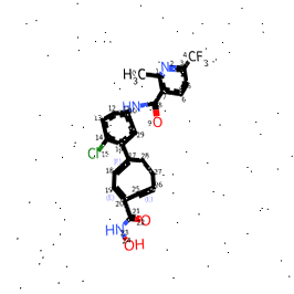 Cc1nc(C(F)(F)F)ccc1C(=O)Nc1ccc(Cl)c(/C2=C/C=C(C(=O)NO)\C=C\CC2)c1